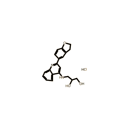 Cl.OCC(O)CNc1cc(-c2ccc3c(c2)CCO3)nc2ccccc12